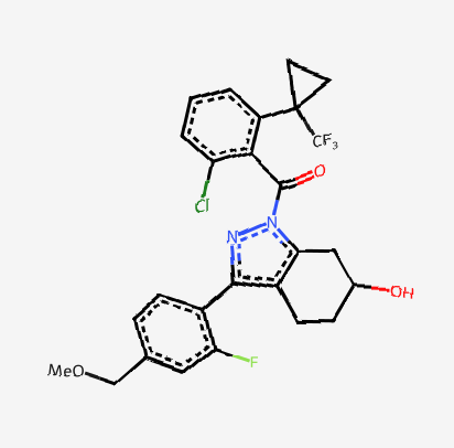 COCc1ccc(-c2nn(C(=O)c3c(Cl)cccc3C3(C(F)(F)F)CC3)c3c2CCC(O)C3)c(F)c1